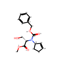 COC(=O)[C@H](CO)N(C(=O)OCc1ccccc1)[C@H]1C=CCC1